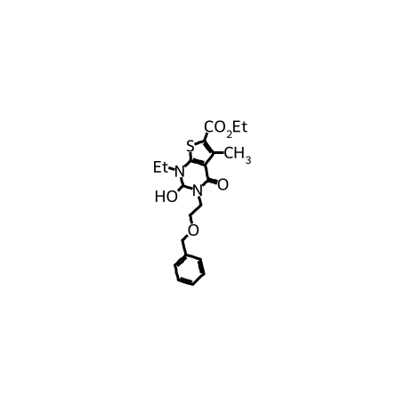 CCOC(=O)c1sc2c(c1C)C(=O)N(CCOCc1ccccc1)C(O)N2CC